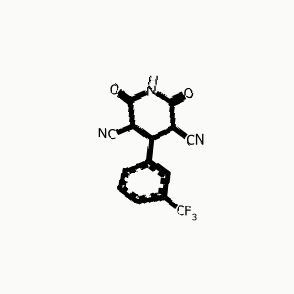 N#CC1C(=O)NC(=O)C(C#N)C1c1cccc(C(F)(F)F)c1